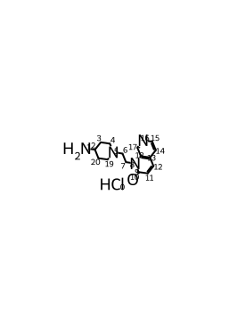 Cl.NC1CCN(CCn2c(=O)ccc3ccncc32)CC1